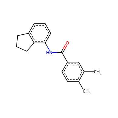 Cc1ccc(C(=O)Nc2cccc3c2CCC3)cc1C